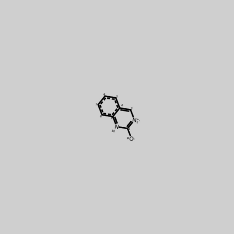 [O]C1=[N+]C=c2ccccc2=N1